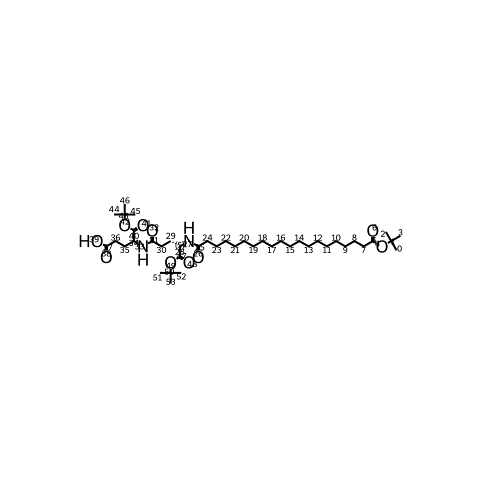 CC(C)(C)OC(=O)CCCCCCCCCCCCCCCCCCC(=O)N[C@@H](CCC(=O)NC(CCC(=O)O)C(=O)OC(C)(C)C)C(=O)OC(C)(C)C